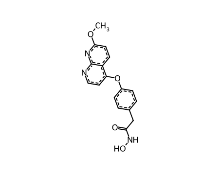 COc1ccc2c(Oc3ccc(CC(=O)NO)cc3)ccnc2n1